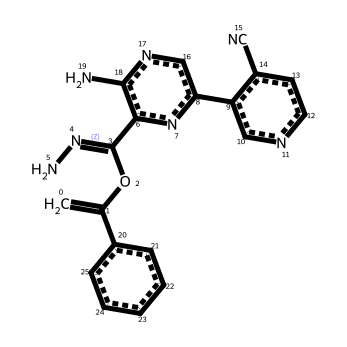 C=C(O/C(=N\N)c1nc(-c2cnccc2C#N)cnc1N)c1ccccc1